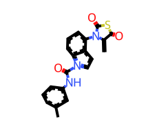 C=C1C(=O)SC(=O)N1c1cccc2c1ccn2C(=O)Nc1cccc(C)c1